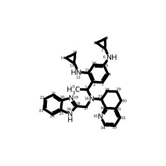 CC(c1ccc(NC2CC2)cc1NC1CC1)N(Cc1nc2ccccc2[nH]1)C1CCCc2cccnc21